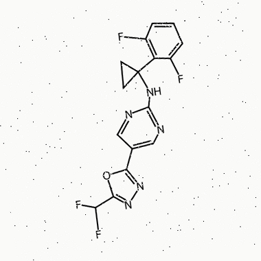 Fc1cccc(F)c1C1(Nc2ncc(-c3nnc(C(F)F)o3)cn2)CC1